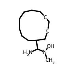 CN(O)C(N)C1CCCCCCCCCCC1